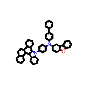 C1=CC2c3c(c4ccccc4c4ccc5ccccc5c34)N(c3ccc(N(c4ccc(-c5ccccc5)cc4)C4C=Cc5oc6ccccc6c5C4)cc3)C2C=C1